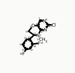 CN1c2nc(Cl)ncc2OCC1c1ccc(F)cc1F